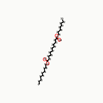 CCCCCCCCCCOC(=O)CCCCCCCCCCC(=O)OCCCCCCCC